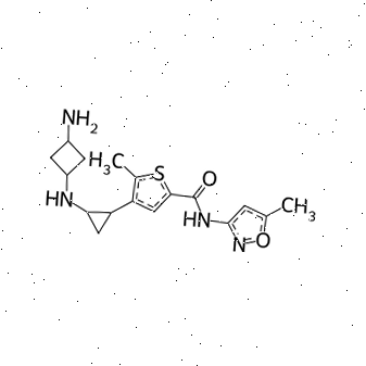 Cc1cc(NC(=O)c2cc(C3CC3NC3CC(N)C3)c(C)s2)no1